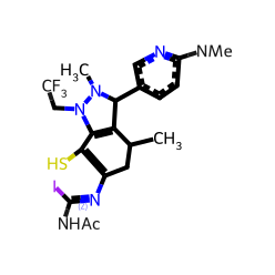 CNc1ccc(C2C3=C(C(S)=C(/N=C(\I)NC(C)=O)CC3C)N(CC(F)(F)F)N2C)cn1